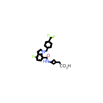 O=C(O)CC12CC(NC(=O)c3ccc(F)c4ccn(Cc5ccc(C(F)F)cc5)c34)(C1)C2